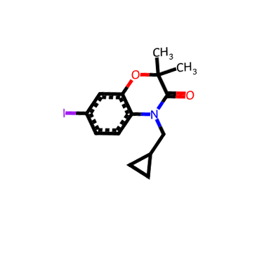 CC1(C)Oc2cc(I)ccc2N(CC2CC2)C1=O